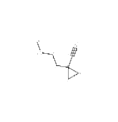 COCCC1(C#N)CC1